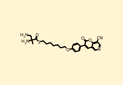 CC(N)(CN)C(=O)SCCCCCCCOc1ccc(-c2cc3cncc(C#N)c3oc2=O)cc1